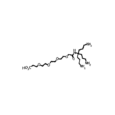 NCCCC(CCCN)(CCCN)NC(=O)COCCOCCOCCOCCC(=O)O